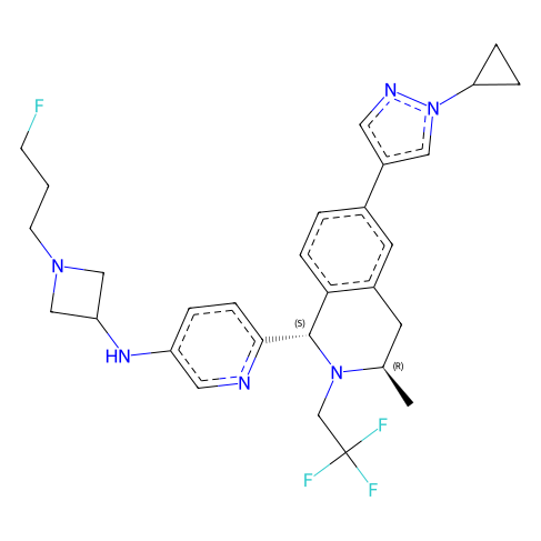 C[C@@H]1Cc2cc(-c3cnn(C4CC4)c3)ccc2[C@@H](c2ccc(NC3CN(CCCF)C3)cn2)N1CC(F)(F)F